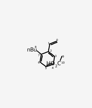 C=Cc1ccccc1CCCC.CC(=O)O